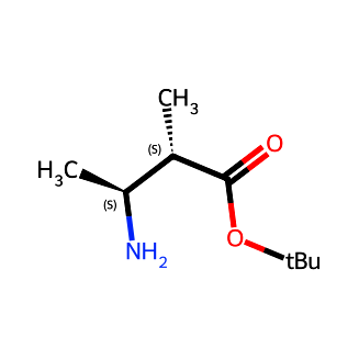 C[C@H](N)[C@H](C)C(=O)OC(C)(C)C